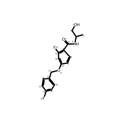 CC(CO)NC(=O)c1ccc(OCc2ccc(F)cc2)cc1F